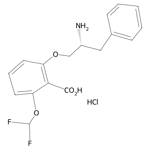 Cl.N[C@@H](COc1cccc(OC(F)F)c1C(=O)O)Cc1ccccc1